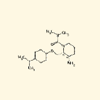 CC(C)C1CCC(OC[C@H]2[C@@H](N)CCCN2C(=O)N(C)C)CC1